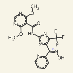 COc1ncnc(OC)c1C(=O)Nc1nc(C(F)(F)F)c(/C(=N/O)c2ccccn2)s1